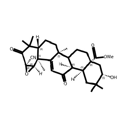 COC(=O)[C@@]12CCC3[C@H](C(=O)C=C4[C@@]5(C)[C@H]6O[C@@]6(C#N)C(=O)C(C)(C)[C@@H]5CC[C@]43C)[C@@H]1CC(C)(C)[C@@H](O)C2